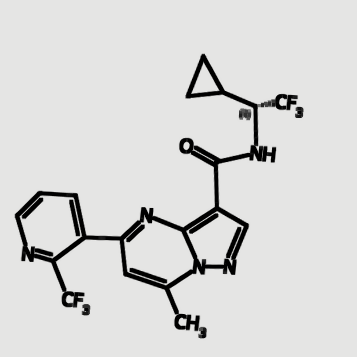 Cc1cc(-c2cccnc2C(F)(F)F)nc2c(C(=O)N[C@H](C3CC3)C(F)(F)F)cnn12